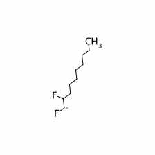 CCCCCCCCC(F)[CH]F